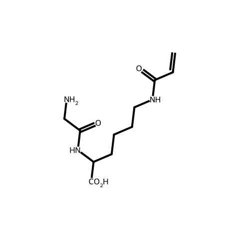 C=CC(=O)NCCCCC(NC(=O)CN)C(=O)O